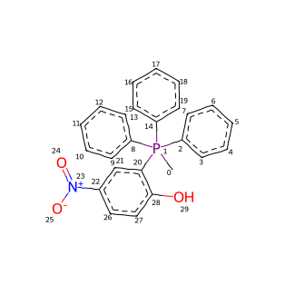 CP(c1ccccc1)(c1ccccc1)(c1ccccc1)c1cc([N+](=O)[O-])ccc1O